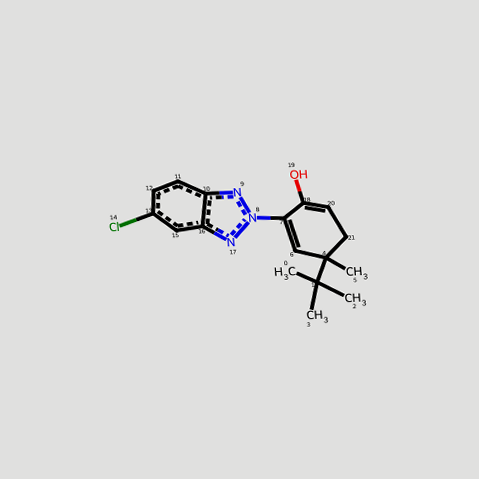 CC(C)(C)C1(C)C=C(n2nc3ccc(Cl)cc3n2)C(O)=CC1